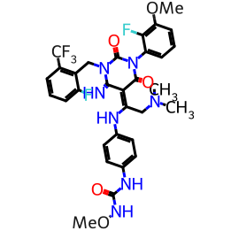 CONC(=O)Nc1ccc(N/C(CN(C)C)=C2\C(=N)N(Cc3c(F)cccc3C(F)(F)F)C(=O)N(c3cccc(OC)c3F)C2=O)cc1